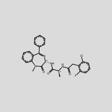 C[C@H](NC(=O)Cc1c(F)cccc1Cl)C(=O)N[C@H]1N=C(c2ccccc2)c2ccccc2N(C)C1=O